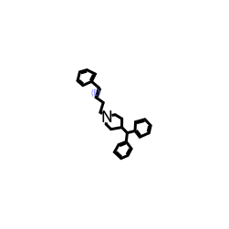 C(=C\c1ccccc1)/CCN1CCC(C(c2ccccc2)c2ccccc2)CC1